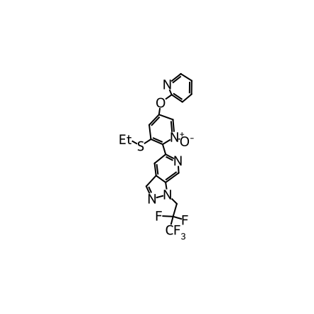 CCSc1cc(Oc2ccccn2)c[n+]([O-])c1-c1cc2cnn(CC(F)(F)C(F)(F)F)c2cn1